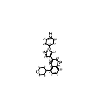 c1cc(C2CCOCC2)c2nc(-c3cnn(C4CCNCC4)c3)cnc2c1